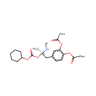 CCCC(C)C(=O)Oc1ccc(C[C@](NC(C)C)(OC(=O)OC2CCCCC2)C(=O)O)cc1OC(=O)C(C)CCC